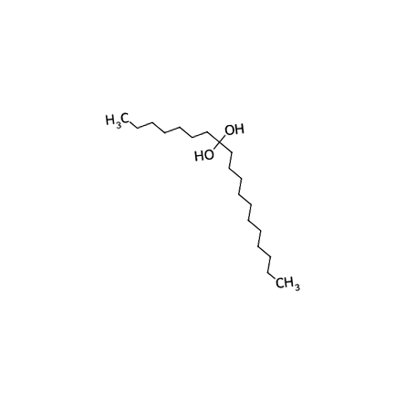 CCCCCCCCCCCC(O)(O)CCCCCCC